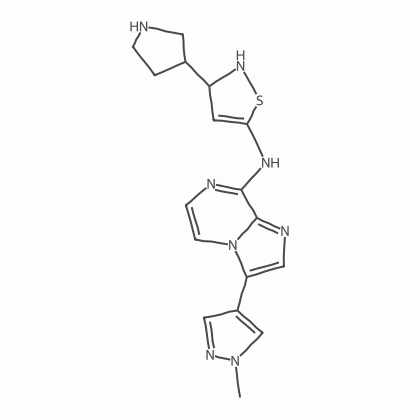 Cn1cc(-c2cnc3c(NC4=CC(C5CCNC5)NS4)nccn23)cn1